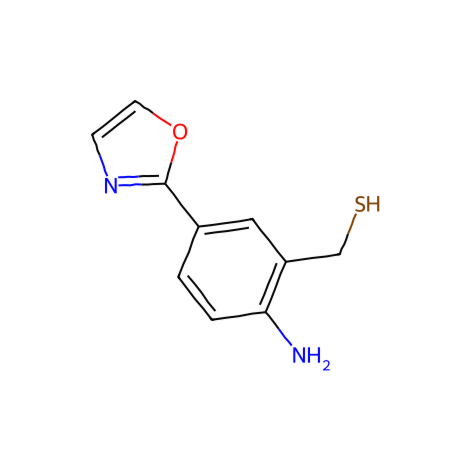 Nc1ccc(-c2ncco2)cc1CS